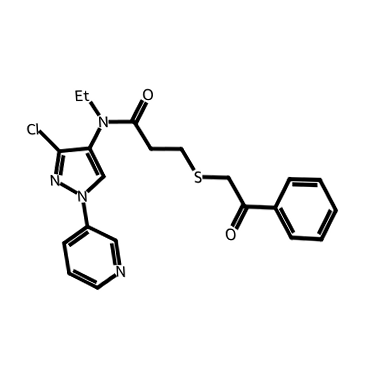 CCN(C(=O)CCSCC(=O)c1ccccc1)c1cn(-c2cccnc2)nc1Cl